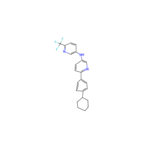 FC(F)(F)c1ccc(Nc2ccc(-c3ccc(C4CCCCC4)cc3)nc2)cn1